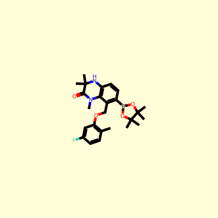 Cc1ccc(F)cc1OCc1c(B2OC(C)(C)C(C)(C)O2)ccc2c1N(C)C(=O)C(C)(C)N2